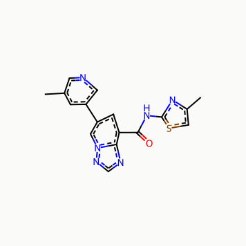 Cc1cncc(-c2cc(C(=O)Nc3nc(C)cs3)c3ncnn3c2)c1